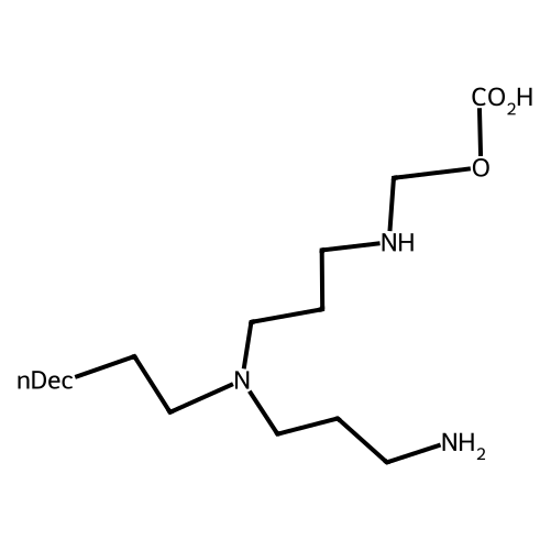 CCCCCCCCCCCCN(CCCN)CCCNCOC(=O)O